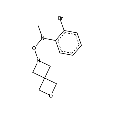 CN(ON1CC2(COC2)C1)c1ccccc1Br